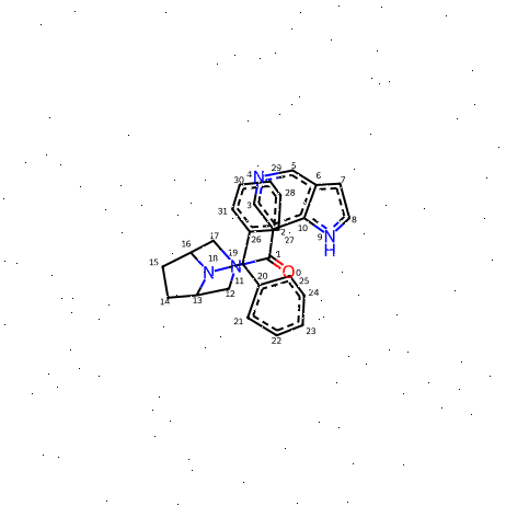 O=C(c1cncc2cc[nH]c12)N1CC2CCC(C1)N2C(c1ccccc1)c1ccccc1